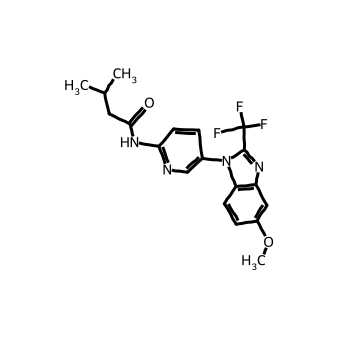 COc1ccc2c(c1)nc(C(F)(F)F)n2-c1ccc(NC(=O)CC(C)C)nc1